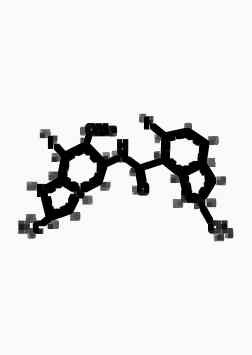 COc1c(NC(=O)c2c(F)ccc3cn(C)nc23)cn2cc(C)nc2c1F